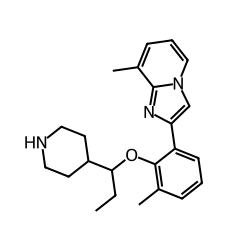 CCC(Oc1c(C)cccc1-c1cn2cccc(C)c2n1)C1CCNCC1